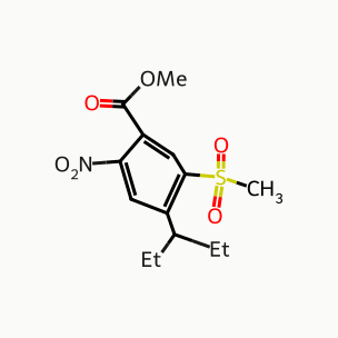 CCC(CC)c1cc([N+](=O)[O-])c(C(=O)OC)cc1S(C)(=O)=O